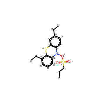 CCCS(=O)(=O)ON1c2ccc(CC)cc2Sc2c(CC)cccc21